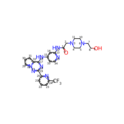 O=C(CN1CCN(CCO)CC1)Nc1cc(Nc2nc(-c3cccc(C(F)(F)F)n3)nn3cccc23)ccn1